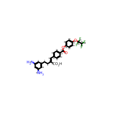 Nc1cc(N)cc(CCC(=Cc2ccc(C(=O)Oc3ccc(OC(F)(F)C(F)F)cc3)cc2)C(=O)O)c1